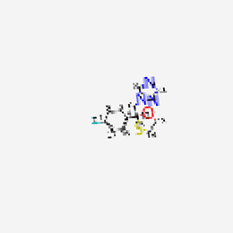 Fc1ccc(C2(Cn3cncn3)OCCS2)cc1